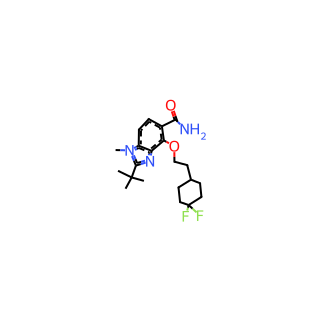 Cn1c(C(C)(C)C)nc2c(OCCC3CCC(F)(F)CC3)c(C(N)=O)ccc21